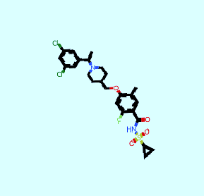 Cc1cc(C(=O)NS(=O)(=O)C2CC2)c(F)cc1OCC1CCN(C(C)c2cc(Cl)cc(Cl)c2)CC1